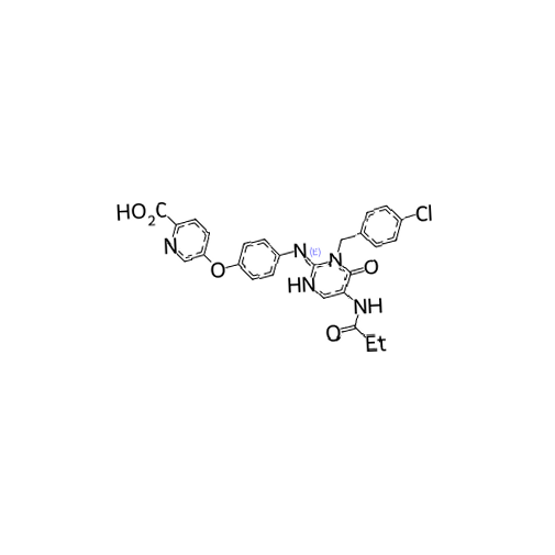 CCC(=O)Nc1c[nH]/c(=N\c2ccc(Oc3ccc(C(=O)O)nc3)cc2)n(Cc2ccc(Cl)cc2)c1=O